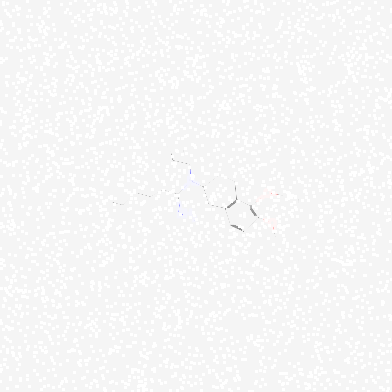 CCCCCC(N)N(CCC)C1CCc2c(ccc(OC)c2OC)C1